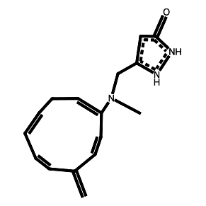 C=C1/C=C\C=C/C/C=C(N(C)Cc2cc(=O)[nH][nH]2)\C=C/1